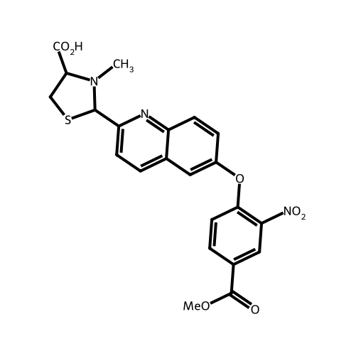 COC(=O)c1ccc(Oc2ccc3nc(C4SCC(C(=O)O)N4C)ccc3c2)c([N+](=O)[O-])c1